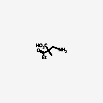 CCC(=O)C(C)(CN)C(=O)O